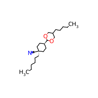 CCCCCC[C@]1(C#N)CC[C@@H](C2OCC(CCCCC)CO2)CC1